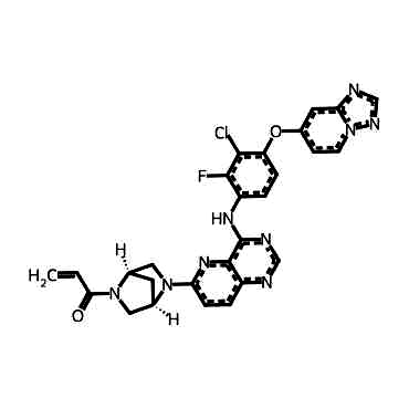 C=CC(=O)N1C[C@H]2C[C@@H]1CN2c1ccc2ncnc(Nc3ccc(Oc4ccn5ncnc5c4)c(Cl)c3F)c2n1